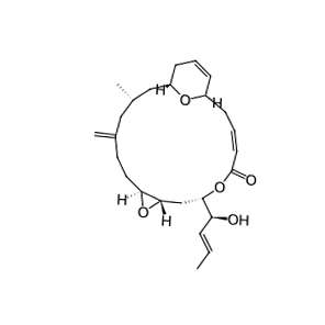 C=C1CC[C@@H]2O[C@H]2C[C@@H]([C@@H](O)/C=C/C)OC(=O)/C=C\C[C@@H]2C=CC[C@@H](C[C@@H](C)C1)O2